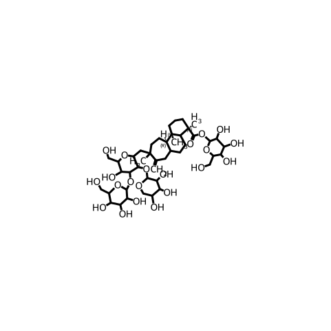 C=C1CC2CCC3[C@](C)(C(=O)OC4OC(CO)C(O)C(O)C4O)CCC[C@@]3(C)[C@@H]2CCC1(C)CC1OC(CO)C(O)C(OC2OC(CO)C(O)C(O)C2O)C1OC1OCC(O)C(O)C1O